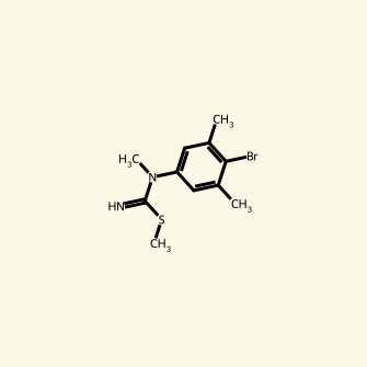 CSC(=N)N(C)c1cc(C)c(Br)c(C)c1